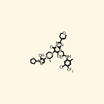 CCc1c(N2CCN(c3cnn(C4CCCC4)c3O)[C@H](C)C2)c(=O)n2nc(C3=CCOCC3)nc2n1CC(=O)Nc1cc(Cl)c(C(F)(F)F)cc1C